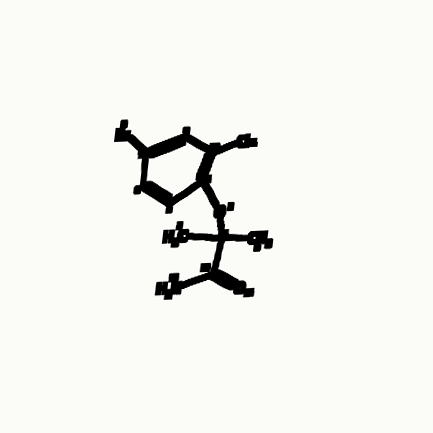 CC(C)(Oc1ccc(Br)cc1Cl)C(N)=O